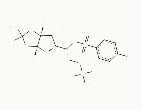 Cc1ccc(S(=O)(=O)O[C@H](CO[Si](C)(C)C(C)(C)C)[C@H]2O[C@@H]3OC(C)(C)O[C@@H]3[C@@H]2O)cc1